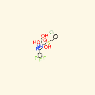 OCC1OC(SCCc2cccc(Cl)c2)C(O)C(n2cc(-c3cc(F)c(F)c(F)c3)nn2)C1O